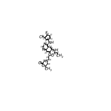 C=CC(=O)Nc1cc2c(Nc3ccc(F)c(Cl)c3)ncnc2cc1OCCN1CC(=O)O[C@H](C)C1